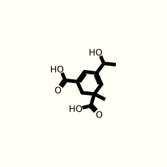 CC(O)C1=CC(C)(C(=O)O)CC(C(=O)O)=C1